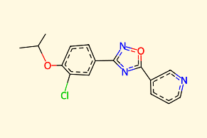 CC(C)Oc1ccc(-c2noc(-c3cccnc3)n2)cc1Cl